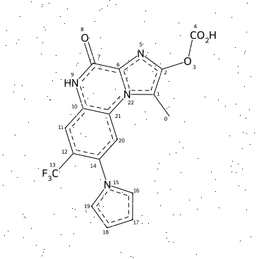 Cc1c(OC(=O)O)nc2c(=O)[nH]c3cc(C(F)(F)F)c(-n4cccc4)cc3n12